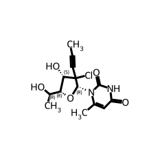 CC#CC1(Cl)[C@@H](O)[C@@H]([C@@H](C)O)O[C@H]1n1c(C)cc(=O)[nH]c1=O